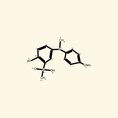 COc1ccc(N(C)c2ccc(C(C)C)c([N+](C)([O-])O)c2)cc1